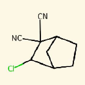 N#CC1(C#N)C2CCC(C2)C1Cl